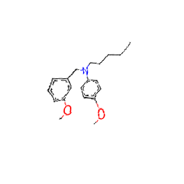 CCCCCN(Cc1cccc(OC)c1)c1ccc(OC)cc1